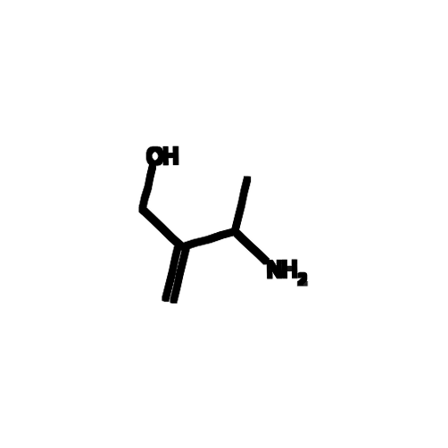 C=C(CO)C(C)N